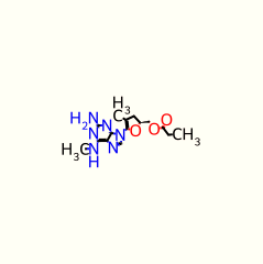 CCC(=O)OC[C@@H]1CC(C)=C(n2cnc3c(NC)nc(N)nc32)O1